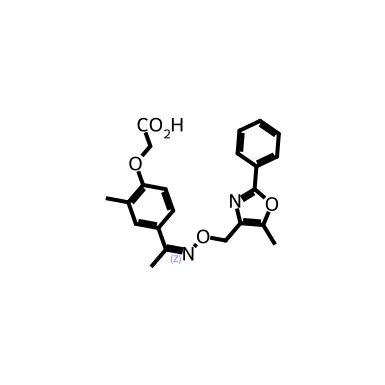 C/C(=N/OCc1nc(-c2ccccc2)oc1C)c1ccc(OCC(=O)O)c(C)c1